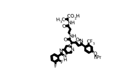 CCCOc1ccc(-c2cc(C(C(=O)NCCC(=O)NC(C)C(=O)O)N3Cc4nc(-c5cccc(F)c5F)[nH]c4C=N3)on2)c(C(F)(F)F)c1